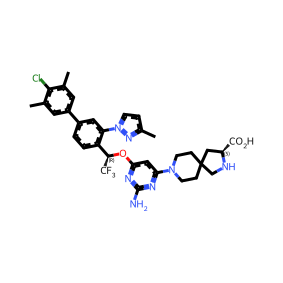 Cc1ccn(-c2cc(-c3cc(C)c(Cl)c(C)c3)ccc2[C@@H](Oc2cc(N3CCC4(CC3)CN[C@H](C(=O)O)C4)nc(N)n2)C(F)(F)F)n1